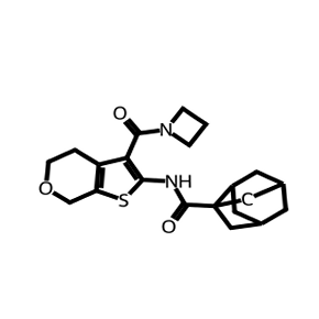 O=C(c1c(NC(=O)C23CC4CC(CC2C4)C3)sc2c1CCOC2)N1CCC1